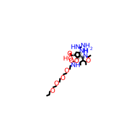 CCCOCCOCCOCCOCCNC(=O)O[C@H]1[C@@H]([C@H](NC(C)=O)C(CC)CC)[C@H](NC(=N)N)C[C@@H]1C(=O)O